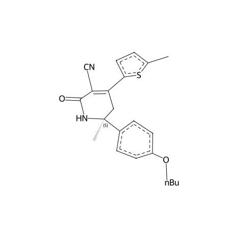 CCCCOc1ccc([C@]2(C)CC(c3ccc(C)s3)=C(C#N)C(=O)N2)cc1